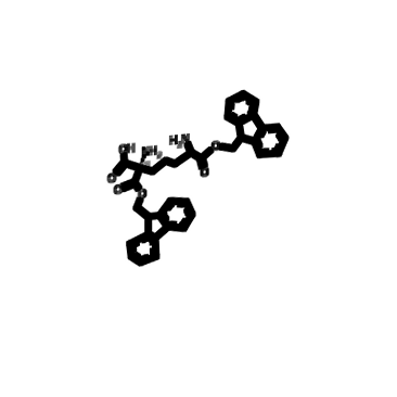 NC(CCC[C@](N)(C(=O)O)C(=O)OCC1c2ccccc2-c2ccccc21)C(=O)OCC1c2ccccc2-c2ccccc21